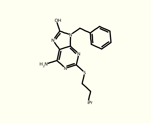 CC(C)CCSc1nc(N)c2nc(O)n(Cc3ccccc3)c2n1